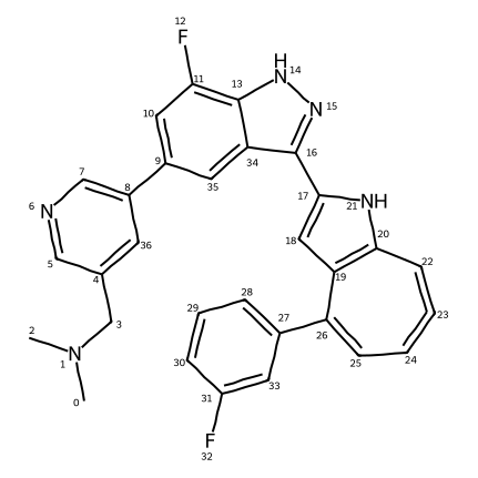 CN(C)Cc1cncc(-c2cc(F)c3[nH]nc(-c4cc5c([nH]4)C=C=CC=C5c4cccc(F)c4)c3c2)c1